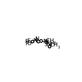 Cc1ccccc1NC(=S)N(C)/N=C/c1ccc2c(ccc3c2ncn3-c2ccc(OC(F)(F)F)cc2)c1